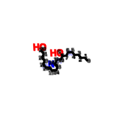 CCCCC/C=C\CC(O)/C=C/c1cccc(/C=C\CCCCO)n1